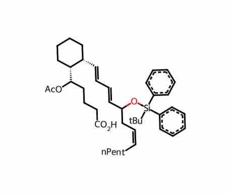 CCCCC/C=C\CC(/C=C/C=C/[C@H]1CCCC[C@H]1C(CCCC(=O)O)OC(C)=O)O[Si](c1ccccc1)(c1ccccc1)C(C)(C)C